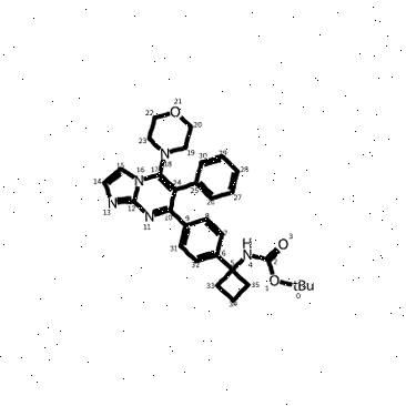 CC(C)(C)OC(=O)NC1(c2ccc(-c3nc4nccn4c(N4CCOCC4)c3-c3ccccc3)cc2)CCC1